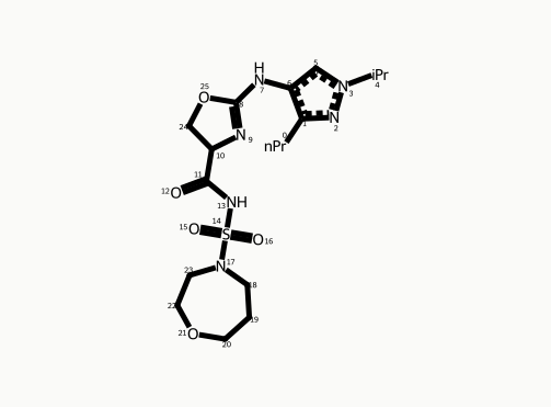 CCCc1nn(C(C)C)cc1NC1=NC(C(=O)NS(=O)(=O)N2CCCOCC2)CO1